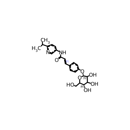 CC(C)c1ccc(NC(=O)/C=C/c2ccc(O[C@@H]3OC(CO)[C@H](O)C(O)C3O)cc2)cn1